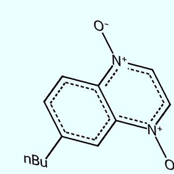 CCCCc1ccc2c(c1)[n+]([O-])cc[n+]2[O-]